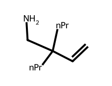 C=CC(CN)(CCC)CCC